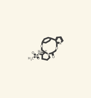 CS(=O)(=O)NC1CCCN2C(=O)COc3ncccc3C3CCC(CC3)OC[C@@H]12